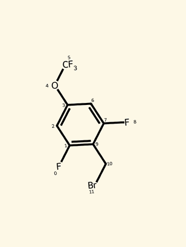 Fc1cc(OC(F)(F)F)cc(F)c1CBr